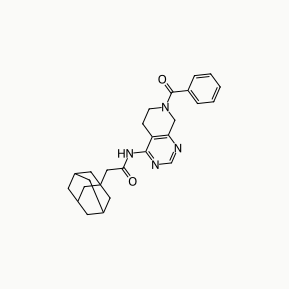 O=C(CC12CC3CC(CC(C3)C1)C2)Nc1ncnc2c1CCN(C(=O)c1ccccc1)C2